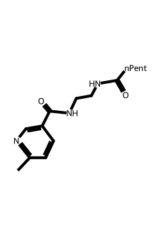 CCCCCC(=O)NCCNC(=O)c1ccc(C)nc1